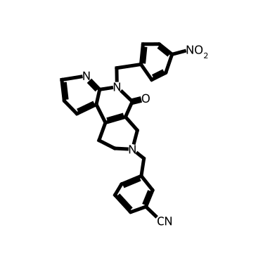 N#Cc1cccc(CN2CCc3c(c(=O)n(Cc4ccc([N+](=O)[O-])cc4)c4ncccc34)C2)c1